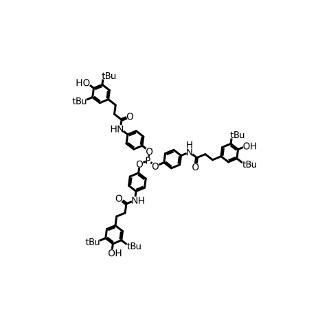 CC(C)(C)c1cc(CCC(=O)Nc2ccc(OP(Oc3ccc(NC(=O)CCc4cc(C(C)(C)C)c(O)c(C(C)(C)C)c4)cc3)Oc3ccc(NC(=O)CCc4cc(C(C)(C)C)c(O)c(C(C)(C)C)c4)cc3)cc2)cc(C(C)(C)C)c1O